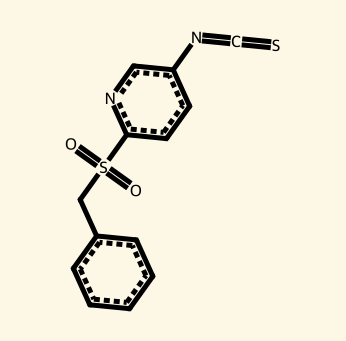 O=S(=O)(Cc1ccccc1)c1ccc(N=C=S)cn1